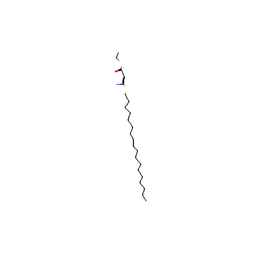 CCCCCCCCCCCCCCCCCCSC(N)=CC(=O)OCC